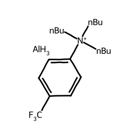 CCCC[N+](CCCC)(CCCC)c1ccc(C(F)(F)F)cc1.[AlH3]